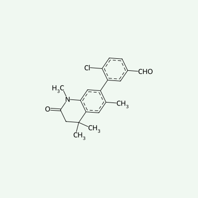 Cc1cc2c(cc1-c1cc(C=O)ccc1Cl)N(C)C(=O)CC2(C)C